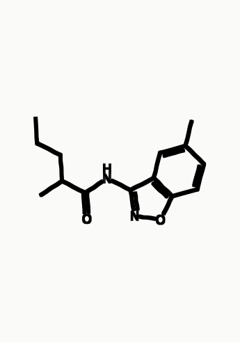 CCCC(C)C(=O)Nc1noc2ccc(C)cc12